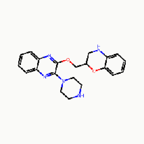 c1ccc2c(c1)NCC(COc1nc3ccccc3nc1N1CCNCC1)O2